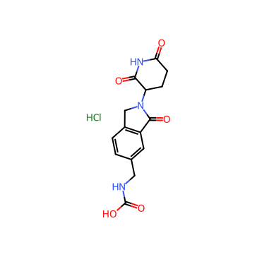 Cl.O=C(O)NCc1ccc2c(c1)C(=O)N(C1CCC(=O)NC1=O)C2